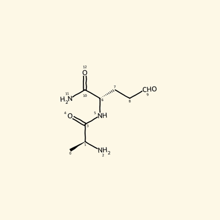 C[C@H](N)C(=O)N[C@@H](CCC=O)C(N)=O